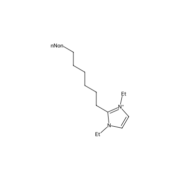 CCCCCCCCCCCCCCCc1n(CC)cc[n+]1CC